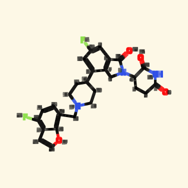 O=C1CCC(N2Cc3c(cc(F)cc3C3CCN(Cc4ccc(F)c5ccoc45)CC3)C2=O)C(=O)N1